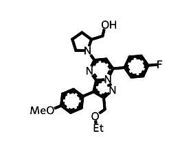 CCOCc1nn2c(-c3ccc(F)cc3)cc(N3CCCC3CO)nc2c1-c1ccc(OC)cc1